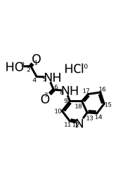 Cl.O=C(O)CNC(=O)Nc1ccnc2ccccc12